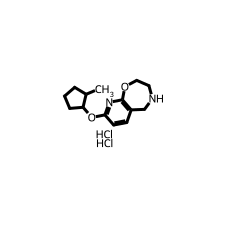 CC1CCCC1Oc1ccc2c(n1)OCCNC2.Cl.Cl